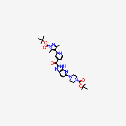 Cc1nn(C(=O)OC(C)(C)C)c(C)c1-c1cc(C(=O)c2nc3ccc(N4CCN(C(=O)OC(C)(C)C)CC4)nc3[nH]2)ccn1